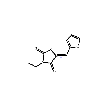 CCN1C(=O)/C(=C/c2ccco2)SC1=S